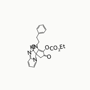 CCOC(=O)OC1=C(NCCc2ccccc2)C2(CC1=O)C(=O)N=C1C=CC=CN12